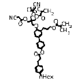 C=C(C)C(=O)OCCCc1cc(-c2ccc(OC(=O)CCc3ccc(CCCCCC)cc3)cc2)ccc1OCC(COC(=O)CC#N)(COC(=O)CC#N)COC(=O)C(=C)C